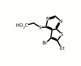 CCc1sc2ncnc(SCC(=O)O)c2c1Br